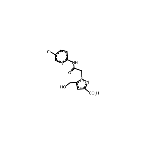 O=C(Cn1nc(C(=O)O)cc1CO)Nc1ccc(Cl)cn1